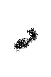 Cc1ccc(S(=O)(=O)N2CC[C@@H]3[C@H](CO)Nc4ccc(-c5cccc(NC(=O)CCCCSc6cccc7c6CN(C6CCC(=O)NC6=O)C7=O)c5)cc4[C@@H]32)cc1